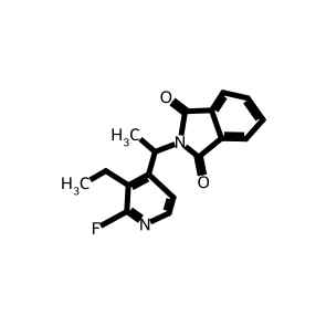 CCc1c(C(C)N2C(=O)c3ccccc3C2=O)ccnc1F